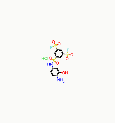 Cl.Nc1ccc(NS(=O)(=O)c2cc(S(=O)(=O)F)cc(S(=O)(=O)F)c2)cc1O